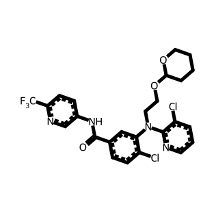 O=C(Nc1ccc(C(F)(F)F)nc1)c1ccc(Cl)c(N(CCOC2CCCCO2)c2ncccc2Cl)c1